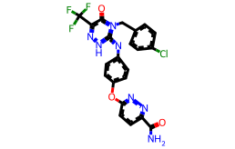 NC(=O)c1ccc(Oc2ccc(/N=c3\[nH]nc(C(F)(F)F)c(=O)n3Cc3ccc(Cl)cc3)cc2)nn1